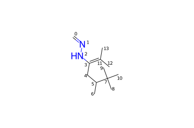 C=NNC(CC(C)C(C)(C)C)=C(C)C